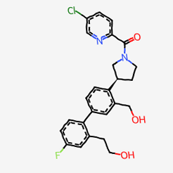 O=C(c1ccc(Cl)cn1)N1CC[C@@H](c2ccc(-c3ccc(F)cc3CCO)cc2CO)C1